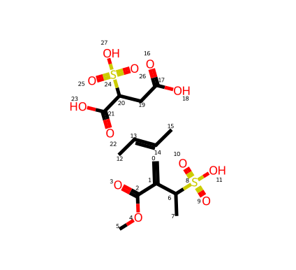 C=C(C(=O)OC)C(C)S(=O)(=O)O.CC=CC.O=C(O)CC(C(=O)O)S(=O)(=O)O